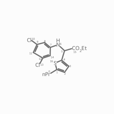 CCCc1ccc(C(Nc2cc(Cl)cc(Cl)c2)C(=O)OCC)s1